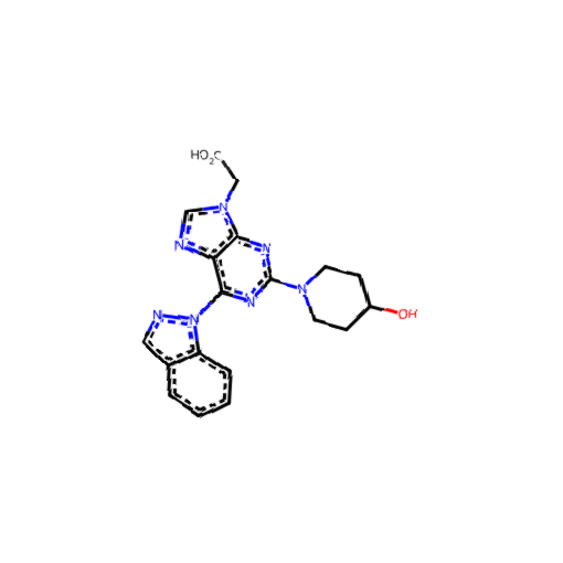 O=C(O)Cn1cnc2c(-n3ncc4ccccc43)nc(N3CCC(O)CC3)nc21